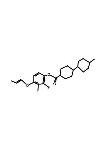 C/C=C/Oc1ccc(OC(=O)C2CCC(C3CCC(C)CC3)CC2)c(F)c1F